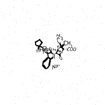 CCCCCCCC1(O/N=C(\C(=O)N[C@H]2C(=O)N3[C@@H]2SC(C)(C)[C@@H]3C(=O)[O-])c2ccccc2F)CCCC1.[Na+]